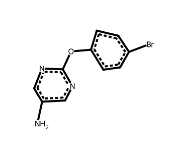 Nc1cnc(Oc2ccc(Br)cc2)nc1